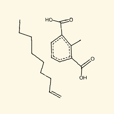 C=CCCCCCCC.Cc1c(C(=O)O)cccc1C(=O)O